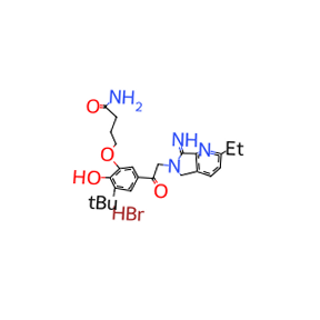 Br.CCc1ccc2c(n1)C(=N)N(CC(=O)c1cc(OCCCC(N)=O)c(O)c(C(C)(C)C)c1)C2